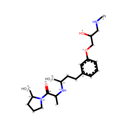 CC(C)NCC(O)COc1cccc(CCC(NC(C)C(=O)N2CCCC2C(=O)O)C(=O)O)c1